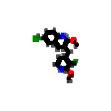 COc1nc2ccc(Br)cc2cc1Cc1ccnc(OC)c1F